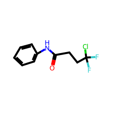 O=C(CCC(F)(F)Cl)Nc1ccccc1